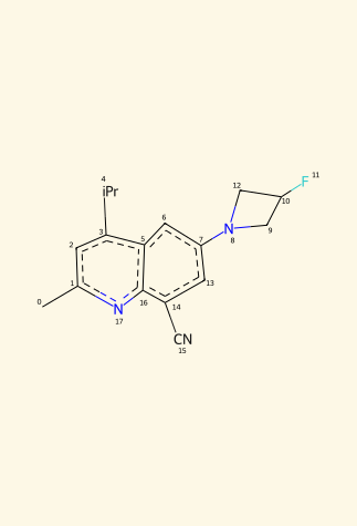 Cc1cc(C(C)C)c2cc(N3CC(F)C3)cc(C#N)c2n1